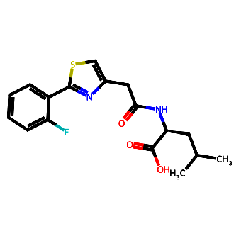 CC(C)C[C@H](NC(=O)Cc1csc(-c2ccccc2F)n1)C(=O)O